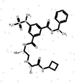 CCCC[C@@H](CN[C@@H](CC)C(=O)NC1CCC1)NC(=O)c1cc(C(=O)N[C@H](C)c2ccccc2)cc(N(C)S(C)(=O)=O)c1